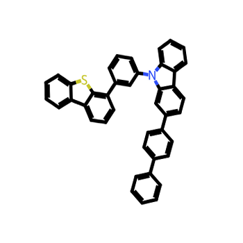 c1ccc(-c2ccc(-c3ccc4c5ccccc5n(-c5cccc(-c6cccc7c6sc6ccccc67)c5)c4c3)cc2)cc1